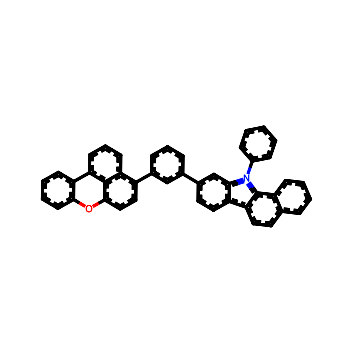 c1ccc(-n2c3cc(-c4cccc(-c5ccc6c7c(cccc57)-c5ccccc5O6)c4)ccc3c3ccc4ccccc4c32)cc1